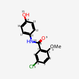 COc1ccc(Cl)cc1C(=O)Nc1ccc(O)cc1